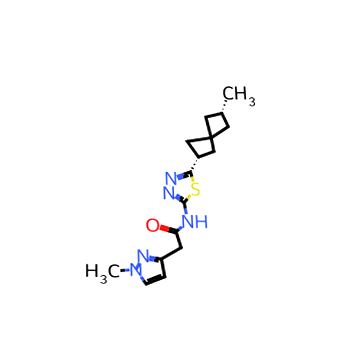 Cn1ccc(CC(=O)Nc2nnc([C@H]3CC4(C[C@@H](C)C4)C3)s2)n1